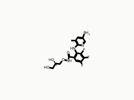 Bc1cnc(Nc2c(C(=O)NOC[C@H](O)CO)cc(F)c(F)c2F)c(C)c1